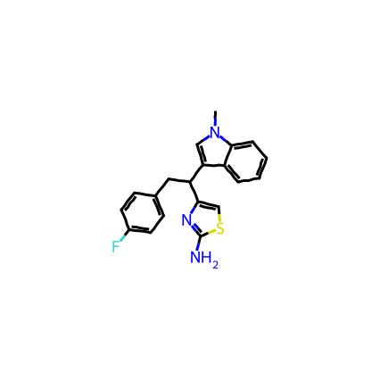 Cn1cc(C(Cc2ccc(F)cc2)c2csc(N)n2)c2ccccc21